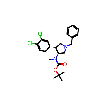 CN(C(=O)OC(C)(C)C)[C@@H]1CN(Cc2ccccc2)C[C@H]1C1C=C(Cl)C(Cl)=CC1